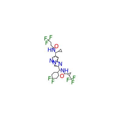 O=C(CCC(F)(F)F)NC(c1cnn2cc([C@@H](NC(=O)C3CC3C(F)(F)F)C3CCC(F)(F)CC3)nc2c1)C1CC1